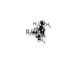 CO[C@@H]1CCN(C(=O)OC(C)(C)C)C[C@H]1Nc1ncc(C(F)(F)F)c(-c2c[nH]c3nc(-c4c(C)noc4C)ccc23)n1